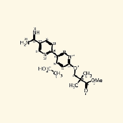 CC(=O)O.COC(=O)C(C)(C)COc1ccc(-c2ccc(C(=N)N)cn2)cn1